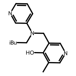 CCC(C)CN(Cc1cncc(C)c1O)c1cccnc1